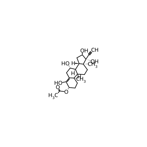 C#C[C@]1(O)[C@H](O)C[C@H]2[C@@H]3[C@@H](O)CC4=C(O)[C@@H](OC(C)=O)CC[C@]4(C)[C@H]3CC[C@@]21C